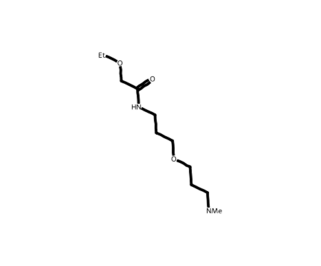 CCOCC(=O)NCCCOCCCNC